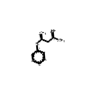 C=C(CC(C)=N)Nc1ccccc1